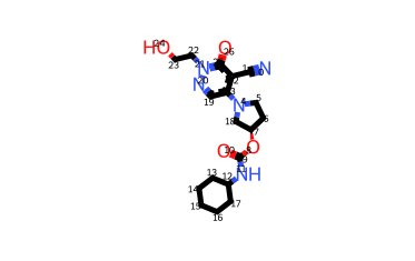 N#Cc1c(N2CC[C@@H](OC(=O)NC3CCCCC3)C2)cnn(CCO)c1=O